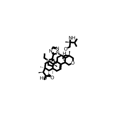 CCN1CCN=C1c1ncnn1[C@@H]1C[C@@]23COC[C@](C)([C@@H]2CC[C@H]2C3=CC[C@@]3(C)[C@H](C(=O)O)[C@@](C)([C@H](C)C(C)C)CC[C@]23C)[C@H]1OC[C@](C)(N)C(C)C